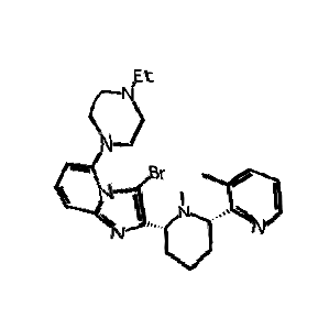 CCN1CCN(c2cccc3nc([C@H]4CCC[C@@H](c5ncccc5C)N4C)c(Br)n23)CC1